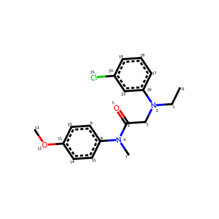 CCN(CC(=O)N(C)c1ccc(OC)cc1)c1cccc(Cl)c1